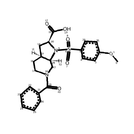 COc1ccc(S(=O)(=O)N2[C@H](C(=O)O)C[C@@H]3CCN(C(=O)c4ccccc4)C[C@@H]32)cc1